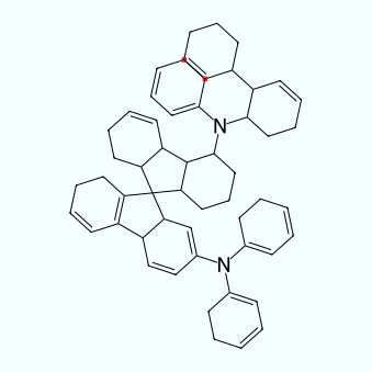 C1=CCCC(N(C2=CC3C(C=C2)C2=C(CCC=C2)C32C3CCC=CC3C3C(N(C4=CC=CCC4)C4CCC=CC4C4C=CCCC4)CCCC32)C2=CC=CCC2)=C1